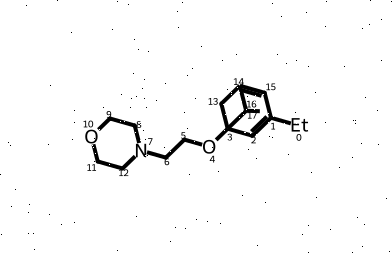 CCC1=CC2(OCCN3CCOCC3)CC(=C1)C2C